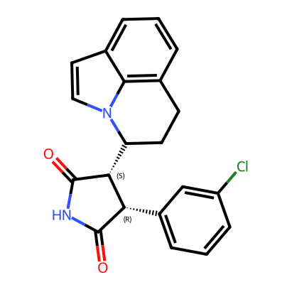 O=C1NC(=O)[C@@H](c2cccc(Cl)c2)[C@H]1C1CCc2cccc3ccn1c23